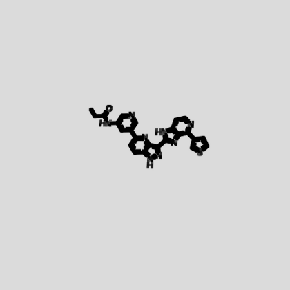 CCC(=O)Nc1cncc(-c2ccc3[nH]nc(-c4nc5c(-c6ccsc6)nccc5[nH]4)c3n2)c1